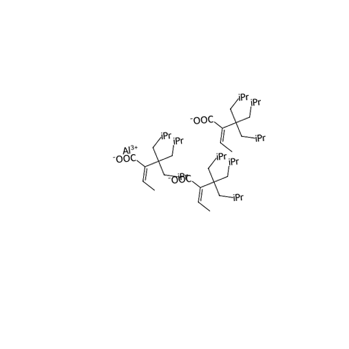 CC=C(C(=O)[O-])C(CC(C)C)(CC(C)C)CC(C)C.CC=C(C(=O)[O-])C(CC(C)C)(CC(C)C)CC(C)C.CC=C(C(=O)[O-])C(CC(C)C)(CC(C)C)CC(C)C.[Al+3]